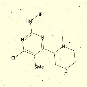 CSc1c(Cl)nc(NC(C)C)nc1C1CNCCN1C